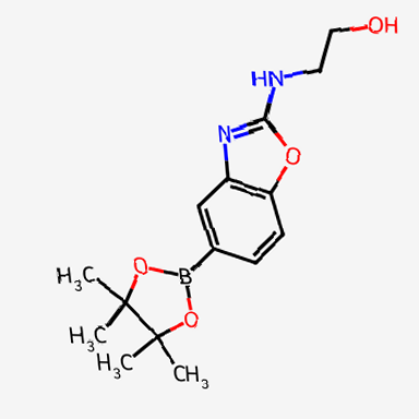 CC1(C)OB(c2ccc3oc(NCCO)nc3c2)OC1(C)C